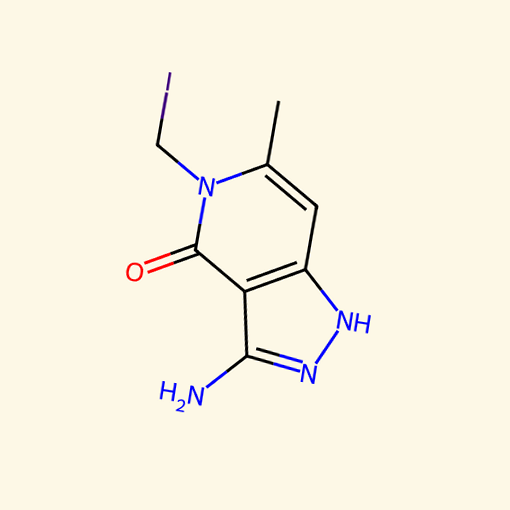 Cc1cc2[nH]nc(N)c2c(=O)n1CI